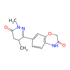 CC1CC(=O)N(C)N=C1c1ccc2c(c1)OCC(=O)N2